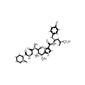 CCCN(C(=O)[C@@H](NC(=O)[C@H]1CCCCN1C)C(C)CC)C(C[C@@H](OC(C)=O)c1nc(C(=O)N[C@@H](Cc2ccc(F)cc2)C[C@H](C)C(=O)O)cs1)C(C)C